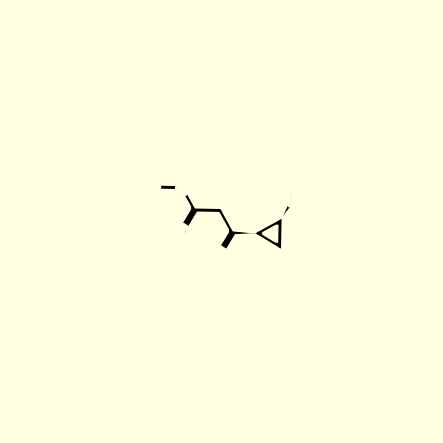 CCOC(=O)CC(=O)[C@@H]1C[C@@H]1F